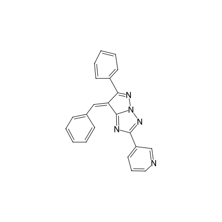 C(/c1ccccc1)=c1\c(-c2ccccc2)nn2nc(-c3cccnc3)nc12